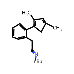 CCCCN=CCc1ccccc1C1=C(C)C=C(C)C1